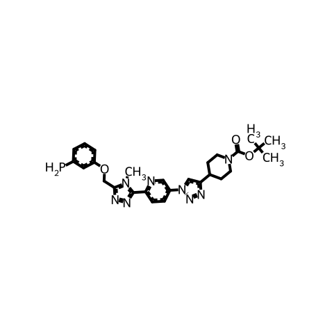 Cn1c(COc2cccc(P)c2)nnc1-c1ccc(-n2cc(C3CCN(C(=O)OC(C)(C)C)CC3)nn2)cn1